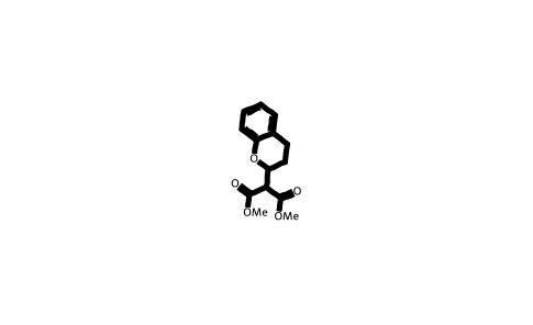 COC(=O)C(C(=O)OC)C1CCc2ccccc2O1